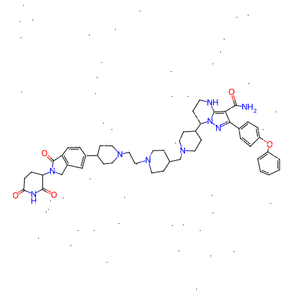 NC(=O)c1c(-c2ccc(Oc3ccccc3)cc2)nn2c1NCCC2C1CCN(CC2CCN(CCN3CCC(c4ccc5c(c4)CN(C4CCC(=O)NC4=O)C5=O)CC3)CC2)CC1